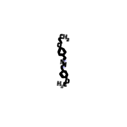 C=CCOc1ccc(/C=N/N=C/c2ccc(OC)cc2)cc1